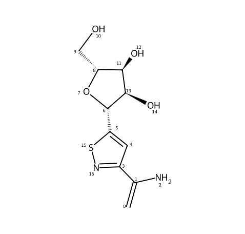 C=C(N)c1cc([C@@H]2O[C@H](CO)[C@@H](O)[C@H]2O)sn1